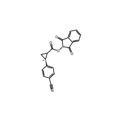 N#Cc1ccc([C@H]2CC2C(=O)ON2C(=O)c3ccccc3C2=O)cc1